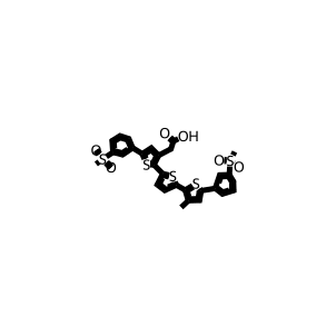 Cc1cc(-c2cccc(S(C)(=O)=O)c2)sc1-c1ccc(-c2sc(-c3cccc(S(C)(=O)=O)c3)cc2CC(=O)O)s1